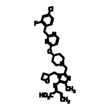 C=C/C(=N\c1c(C)nc(CN2CCC(Oc3ccnc(Cc4ccc(Cl)cc4F)n3)CC2)n1C[C@@H]1CCO1)C(=O)O